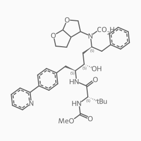 COC(=O)N[C@H](C(=O)N[C@@H](Cc1ccc(-c2ccccn2)cc1)[C@@H](O)C[C@H](Cc1ccccc1)N(C(=O)O)C1COC2OCCC21)C(C)(C)C